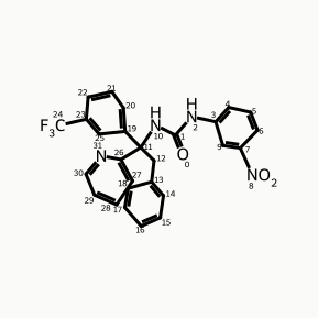 O=C(Nc1cccc([N+](=O)[O-])c1)NC(Cc1ccccc1)(c1cccc(C(F)(F)F)c1)c1ccccn1